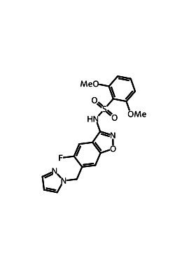 COc1cccc(OC)c1S(=O)(=O)Nc1noc2cc(Cn3cccn3)c(F)cc12